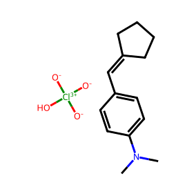 CN(C)c1ccc(C=C2CCCC2)cc1.[O-][Cl+3]([O-])([O-])O